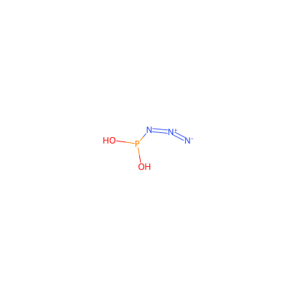 [N-]=[N+]=NP(O)O